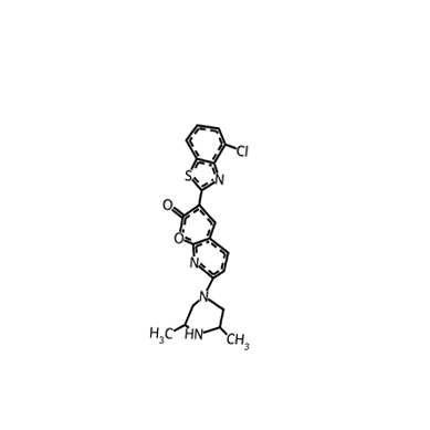 CC1CN(c2ccc3cc(-c4nc5c(Cl)cccc5s4)c(=O)oc3n2)CC(C)N1